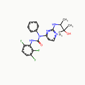 CC(Nc1nccc(N(C(=O)Nc2c(F)ccc(F)c2F)c2ccccc2)n1)C(C)(C)O